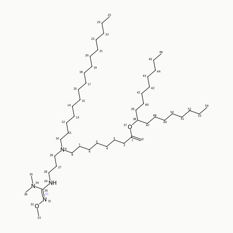 C=C(CCCCCCCN(CCCCCCCCCCCCCCCC)CCCN/C(=N/OC)N(C)C)OC(CCCCCCCC)CCCCCCCC